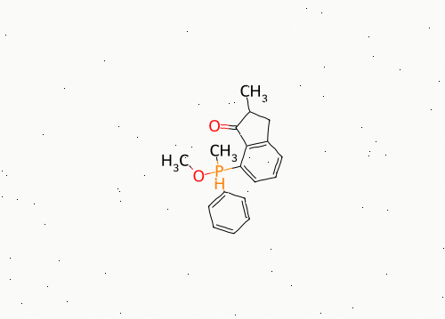 CO[PH](C)(c1ccccc1)c1cccc2c1C(=O)C(C)C2